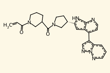 C=CC(=O)N1CCCC(C(=O)N2CC[C@H](c3cc4c(-c5cnn6ncccc56)ccnc4[nH]3)C2)C1